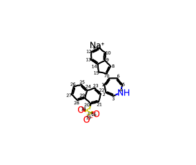 C1=CC=CNC=C1.C1=Cc2ccccc2C1.O=S(=O)([O-])c1cccc2ccccc12.[Na+]